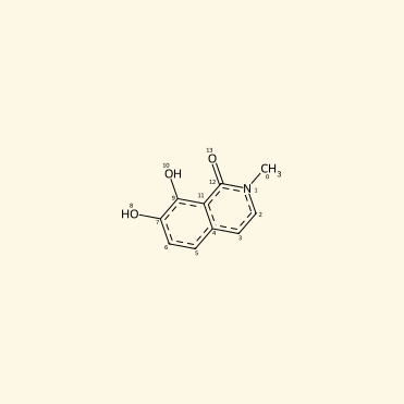 Cn1ccc2ccc(O)c(O)c2c1=O